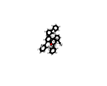 N#Cc1ccc(-n2c3ccccc3c3ccccc32)c(-c2cccc(-c3ncccc3-n3c4ccccc4c4ccccc43)c2C#N)c1